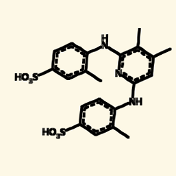 Cc1cc(S(=O)(=O)O)ccc1Nc1cc(C)c(C)c(Nc2ccc(S(=O)(=O)O)cc2C)n1